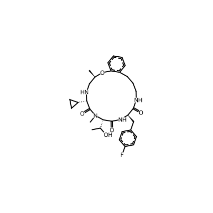 CC(O)[C@H]1C(=O)N[C@H](Cc2ccc(F)cc2)C(=O)NCCCc2ccccc2O[C@H](C)CN[C@@H](C2CC2)C(=O)N1C